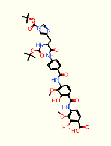 COc1c(NC(=O)c2ccc(NC(=O)c3ccc(NC(=O)[C@H](Cc4cn(C(=O)OC(C)(C)C)cn4)NC(=O)OC(C)(C)C)cc3)c(OC)c2O)ccc(C(=O)O)c1O